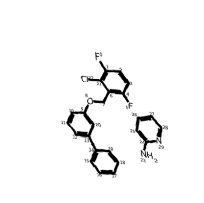 Fc1ccc(F)c(COc2cccc(-c3ccccc3)c2)c1Cl.Nc1ccccn1